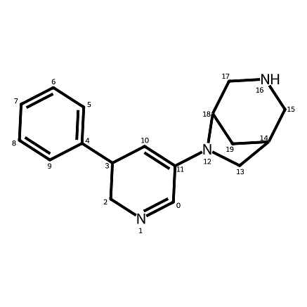 C1=NCC(c2ccccc2)C=C1N1CC2CNCC1C2